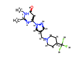 CN/C(C)=N\C(=C/C=O)n1cc(CN2CCC(C(F)(F)F)CC2)cn1